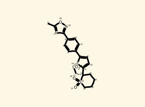 Cc1nc(-c2ccc(-c3ccc([C@@]4(CC(=O)O)CCCCS4(=O)=O)s3)cc2)no1